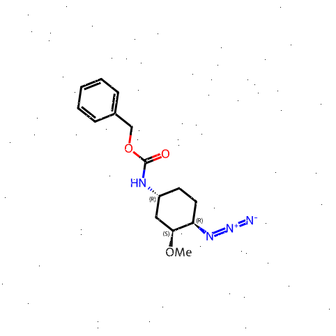 CO[C@H]1C[C@H](NC(=O)OCc2ccccc2)CC[C@H]1N=[N+]=[N-]